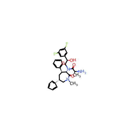 C[C@H](N)C(=O)N(C(=O)[C@H](O)c1cc(F)cc(F)c1)[C@@H]1C(=O)N(C)C[C@H](c2ccccc2)C[C@H]1c1ccccc1